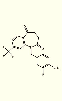 Cc1ccc(CN2C(=O)CCC(=O)c3ccc(C(F)(F)F)cc32)cc1F